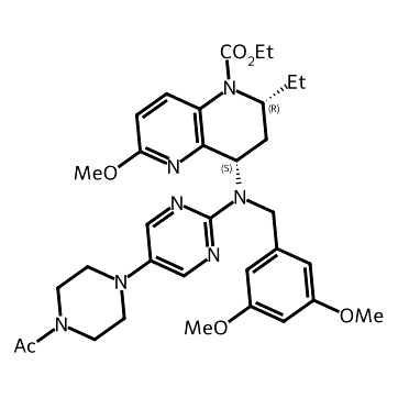 CCOC(=O)N1c2ccc(OC)nc2[C@@H](N(Cc2cc(OC)cc(OC)c2)c2ncc(N3CCN(C(C)=O)CC3)cn2)C[C@H]1CC